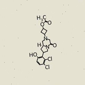 CC(=O)OC1CC(N2CC(=O)N3CC(c4c(O)ccc(Cl)c4Cl)C[C@H]3C2)C1